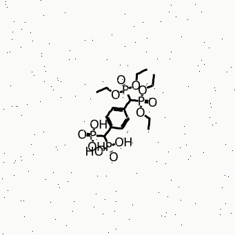 CCOP(=O)(OCC)C(c1ccc(C(P(=O)(O)O)P(=O)(O)O)cc1)P(=O)(OCC)OCC